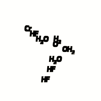 F.F.F.O.O.O.O.[Cr]